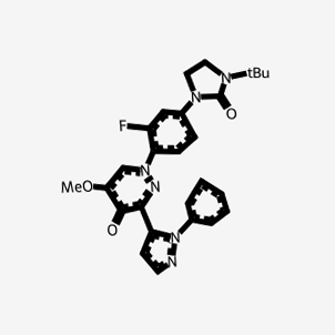 COc1cn(-c2ccc(N3CCN(C(C)(C)C)C3=O)cc2F)nc(-c2ccnn2-c2ccccc2)c1=O